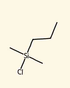 CCC[Si](C)(C)Cl